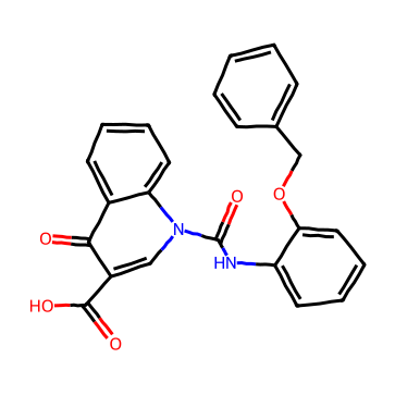 O=C(O)c1cn(C(=O)Nc2ccccc2OCc2ccccc2)c2ccccc2c1=O